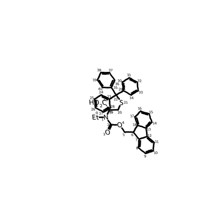 CCN(C(=O)OCC1c2ccccc2-c2ccccc21)[C@@H](CSC(c1ccccc1)(c1ccccc1)c1ccccc1)C(=O)O